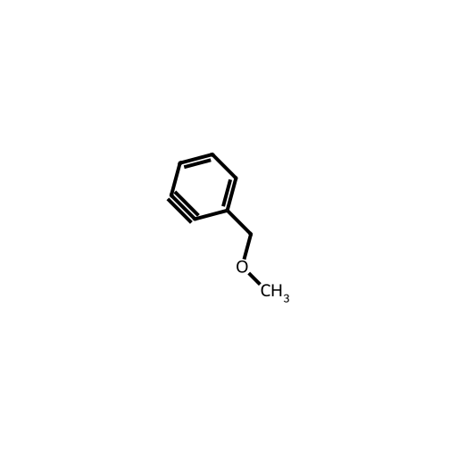 COCc1c#cccc1